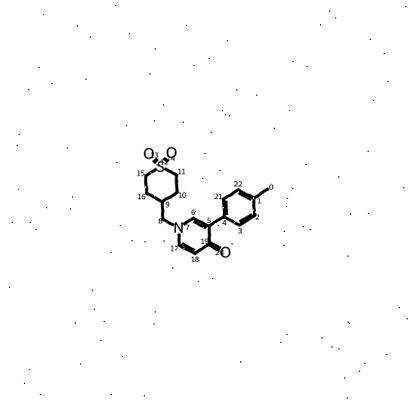 Cc1ccc(-c2cn(CC3CCS(=O)(=O)CC3)ccc2=O)cc1